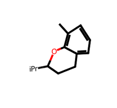 Cc1cccc2c1OC(C(C)C)CC2